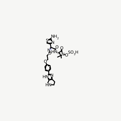 CC1(C)[C@H](NC(=O)/C(=N\OCCOc2ccc(-c3nc4c([nH]3)CNCC4)cc2)c2csc(N)n2)C(=O)N1OS(=O)(=O)O